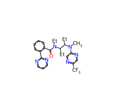 CCC(C(CC)N(C)c1cnc(C(F)(F)F)cn1)N(CC)C(=O)c1ccccc1-c1ncccn1